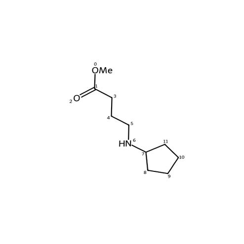 COC(=O)CCCNC1CCCC1